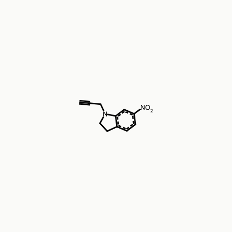 C#CCN1CCc2ccc([N+](=O)[O-])cc21